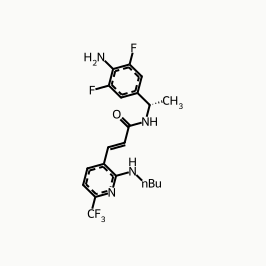 CCCCNc1nc(C(F)(F)F)ccc1/C=C/C(=O)N[C@@H](C)c1cc(F)c(N)c(F)c1